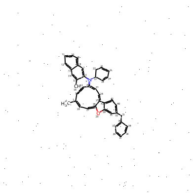 Cc1ccc(N(c2cc3ccccc3cc2C)C2C=CC=CC2)ccc2c(cc1)oc1cc(Cc3ccccc3)ccc12